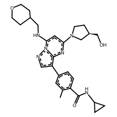 Cc1cc(-c2cnn3c(NCC4CCOCC4)cc(N4CC[C@@H](CO)C4)nc23)ccc1C(=O)NC1CC1